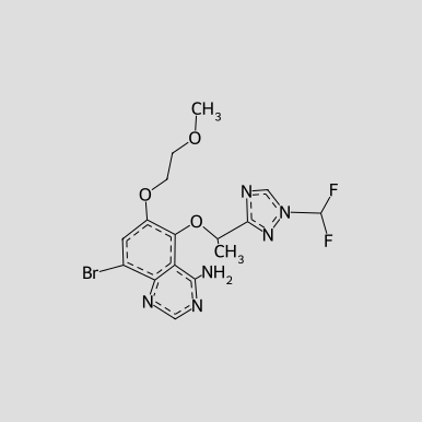 COCCOc1cc(Br)c2ncnc(N)c2c1OC(C)c1ncn(C(F)F)n1